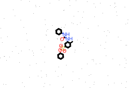 Cc1ccc(S(=O)(=O)Oc2ccccc2)cc1NC(=O)Nc1ccccc1